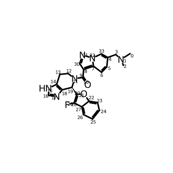 CN(C)Cc1ccc2c(C(=O)N3CCc4[nH]cnc4[C@@H]3c3oc4ccccc4c3F)cnn2c1